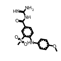 COc1ccc(Nc2ccc(C(=O)NC(=N)N)cc2S(C)(=O)=O)cc1